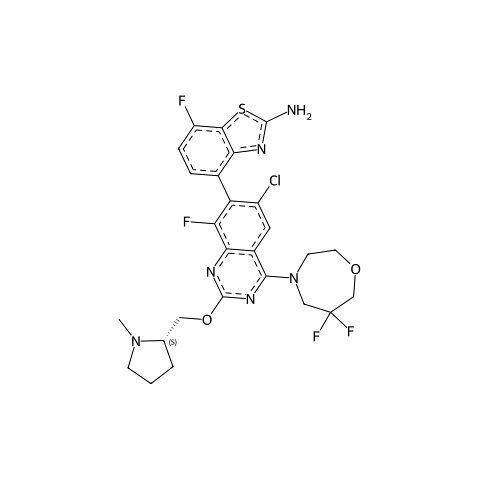 CN1CCC[C@H]1COc1nc(N2CCOCC(F)(F)C2)c2cc(Cl)c(-c3ccc(F)c4sc(N)nc34)c(F)c2n1